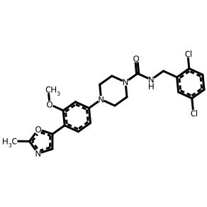 COc1cc(N2CCN(C(=O)NCc3cc(Cl)ccc3Cl)CC2)ccc1-c1cnc(C)o1